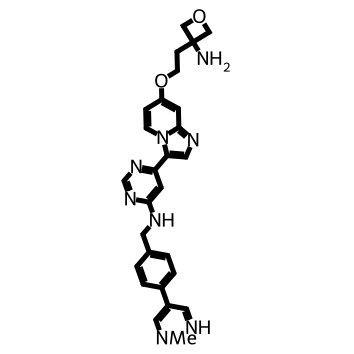 CN/C=C(\C=N)c1ccc(CNc2cc(-c3cnc4cc(OCCC5(N)COC5)ccn34)ncn2)cc1